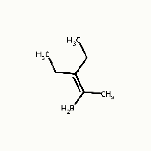 BC(C)=C(CC)CC